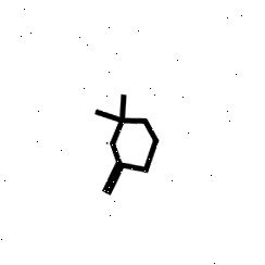 C=C1[CH]C(C)(C)CCC1